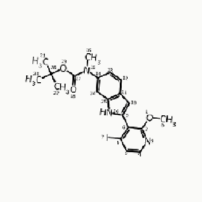 COc1nccc(I)c1-c1cc2ccc(N(C)C(=O)OC(C)(C)C)cc2[nH]1